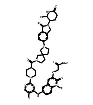 CNC(=O)COc1cc2cc(Nc3nc(N4CCC(C(=O)N5CCC6(CCN(c7ccc8c(c7)CN(C7CCC(=O)NC7O)C8=O)C6)C5)CC4)ncc3Cl)ccc2n(C(C)C)c1=O